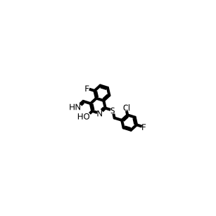 N=Cc1c(O)nc(SCc2ccc(F)cc2Cl)c2cccc(F)c12